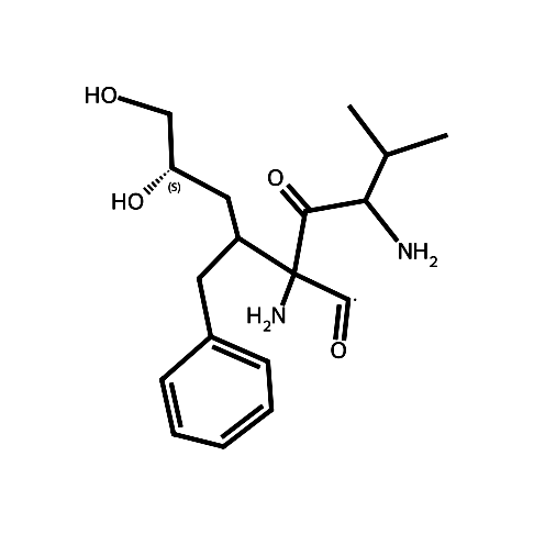 CC(C)C(N)C(=O)C(N)([C]=O)C(Cc1ccccc1)C[C@H](O)CO